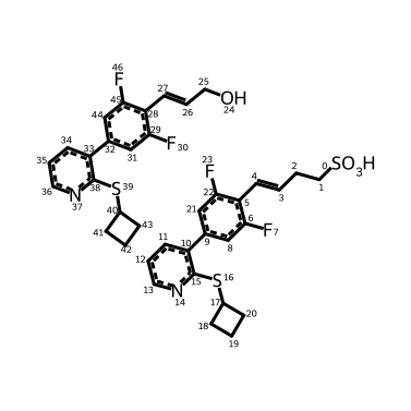 O=S(=O)(O)CC/C=C/c1c(F)cc(-c2cccnc2SC2CCC2)cc1F.OC/C=C/c1c(F)cc(-c2cccnc2SC2CCC2)cc1F